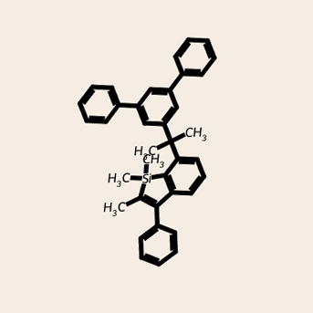 CC1=C(c2ccccc2)c2cccc(C(C)(C)c3cc(-c4ccccc4)cc(-c4ccccc4)c3)c2[Si]1(C)C